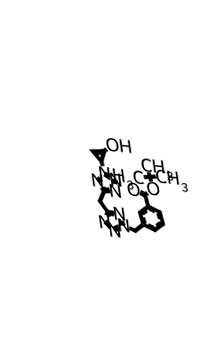 CC(C)(C)OC(=O)c1cccc(Cn2nnc(Cc3nnn(C4C=C4O)n3)n2)c1